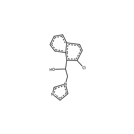 OC(Cn1ccnc1)c1c(Cl)ccc2ccccc12